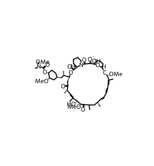 CO[C@H]1C[C@@H]2CC[C@@H](C)[C@@](O)(O2)C(=O)C(=O)N2CCCC[C@H]2C(=O)O[C@H]([C@H](C)C[C@@H]2CC[C@@H](OC(=O)N(C)OC)[C@H](OC)C2)CC(=O)[C@H](C)/C=C(\C)[C@@H](O)[C@@H](OC)C(=O)C(C)C[C@H](C)/C=C/C=C/C=C/1C